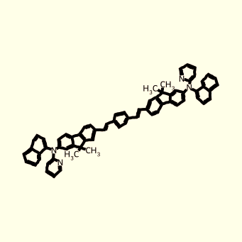 CC1(C)c2cc(/C=C/c3ccc(/C=C/c4ccc5c(c4)C(C)(C)c4cc(N(c6ccccn6)c6cccc7ccccc67)ccc4-5)cc3)ccc2-c2ccc(N(c3ccccn3)c3cccc4ccccc34)cc21